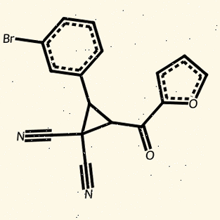 N#CC1(C#N)C(C(=O)c2ccco2)C1c1cccc(Br)c1